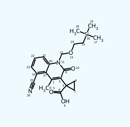 Cc1c(C2(C(=O)O)CC2)c(=O)n(COCC[Si](C)(C)C)c2cccc(C#N)c12